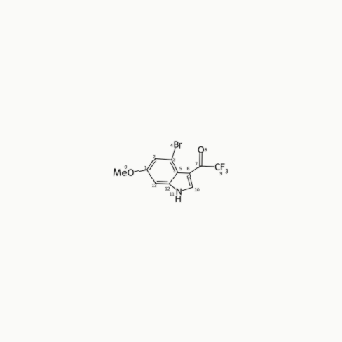 COc1cc(Br)c2c(C(=O)C(F)(F)F)c[nH]c2c1